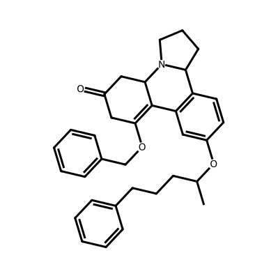 CC(CCCc1ccccc1)Oc1ccc2c(c1)C1=C(OCc3ccccc3)CC(=O)CC1N1CCCC21